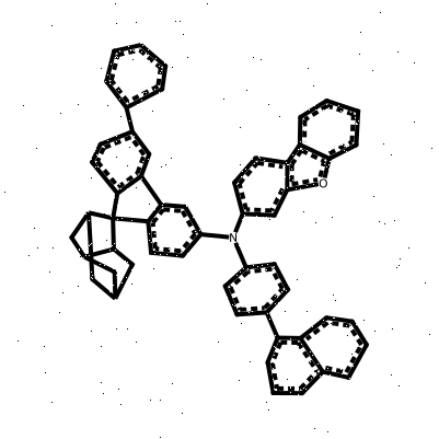 c1ccc(-c2ccc3c(c2)-c2cc(N(c4ccc(-c5cccc6ccccc56)cc4)c4ccc5c(c4)oc4ccccc45)ccc2C32C3CC4CC(C3)C2C4)cc1